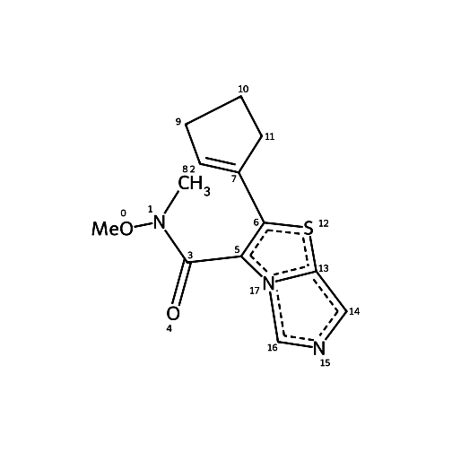 CON(C)C(=O)c1c(C2=CCCC2)sc2cncn12